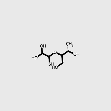 C[C@H](O)C(CO)OC(S)C(O)O